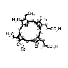 C=CC1=C(C)c2cc3[nH]c(cc4nc(cc5[nH]c(cc1n2)c(C)c5CCC(=O)O)C(CCC(=O)O)=C4C)c(C)c3C=C.[Fe]